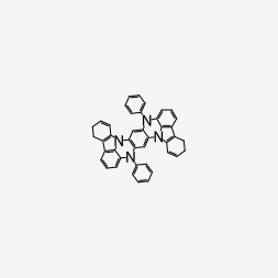 C1=Cc2c(c3cccc4c3n2c2cc3c(cc2n4-c2ccccc2)n2c4c(c5cccc(c52)n3-c2ccccc2)CCC=C4)CC1